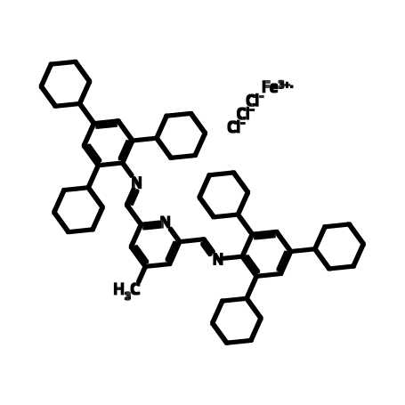 Cc1cc(C=Nc2c(C3CCCCC3)cc(C3CCCCC3)cc2C2CCCCC2)nc(C=Nc2c(C3CCCCC3)cc(C3CCCCC3)cc2C2CCCCC2)c1.[Cl-].[Cl-].[Cl-].[Fe+3]